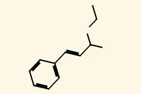 CCOC(O)C=Cc1ccccc1